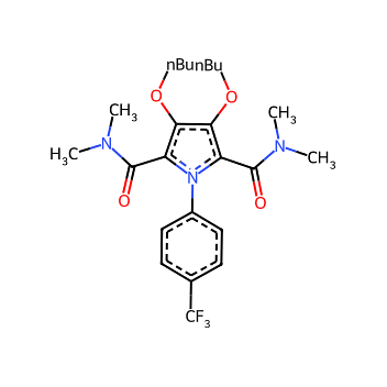 CCCCOc1c(OCCCC)c(C(=O)N(C)C)n(-c2ccc(C(F)(F)F)cc2)c1C(=O)N(C)C